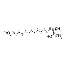 CCOC(=O)CCCCCCCCC/C=C/CC(C)[C@H](C)O